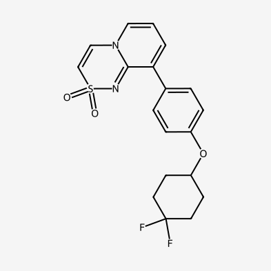 O=S1(=O)C=CN2C=CC=C(c3ccc(OC4CCC(F)(F)CC4)cc3)C2=N1